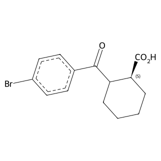 O=C(c1ccc(Br)cc1)C1CCCC[C@@H]1C(=O)O